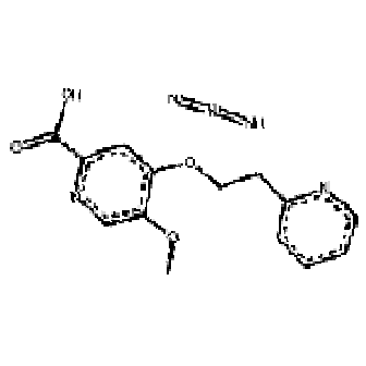 COc1cnc(C(=O)O)cc1OCCc1ccccn1.[N-]=[N+]=N